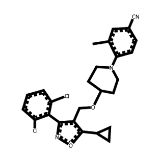 Cc1cc(C#N)ccc1N1CCC(OCc2c(-c3c(Cl)cccc3Cl)noc2C2CC2)CC1